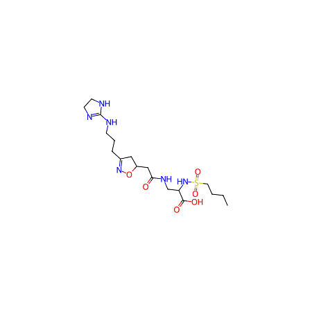 CCCCS(=O)(=O)NC(CNC(=O)CC1CC(CCCNC2=NCCN2)=NO1)C(=O)O